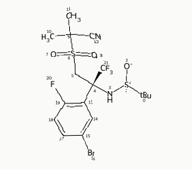 CC(C)(C)[S+]([O-])N[C@@](CS(=O)(=O)C(C)(C)C#N)(c1cc(Br)ccc1F)C(F)(F)F